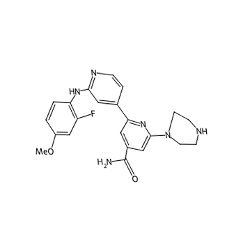 COc1ccc(Nc2cc(-c3cc(C(N)=O)cc(N4CCNCC4)n3)ccn2)c(F)c1